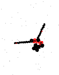 CCCCCCCCCCCCCCCc1cccc(OC(=O)Oc2cccc(CCCCCCCCCCCCCCC)c2)c1.O=C(O)Oc1ccccc1-c1ccc(C(c2ccccc2)(c2ccccc2)c2ccccc2)cc1